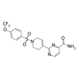 NC(=O)c1ccnc(C2=CCN(S(=O)(=O)c3ccc(OC(F)(F)F)cc3)CC2)n1